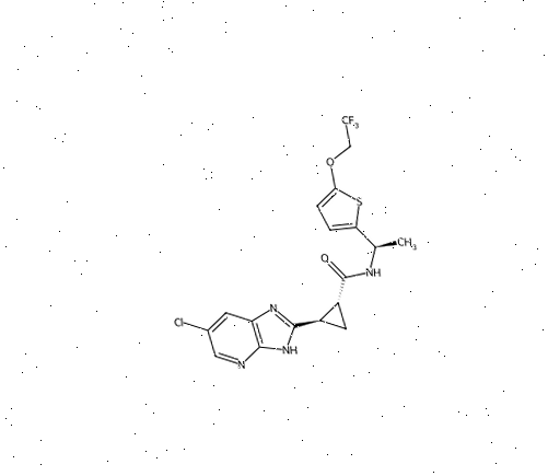 C[C@@H](NC(=O)[C@@H]1C[C@H]1c1nc2cc(Cl)cnc2[nH]1)c1ccc(OCC(F)(F)F)s1